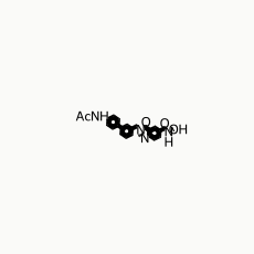 CC(=O)Nc1ccc(-c2cccc(Cn3cnc4ccc(C(=O)NO)cc4c3=O)c2)cc1